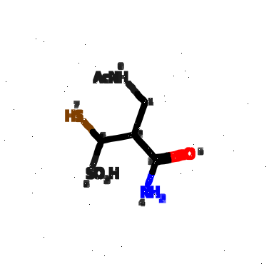 CC(=O)NCC(C(N)=O)C(S)S(=O)(=O)O